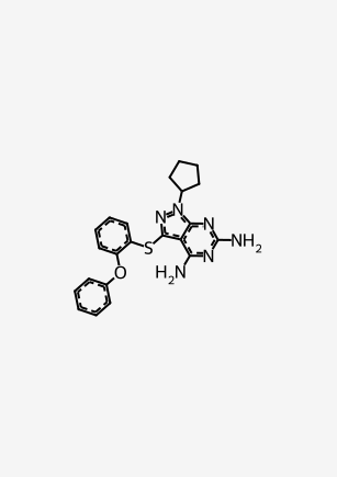 Nc1nc(N)c2c(Sc3ccccc3Oc3ccccc3)nn(C3CCCC3)c2n1